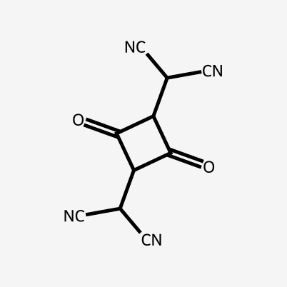 N#CC(C#N)C1C(=O)C(C(C#N)C#N)C1=O